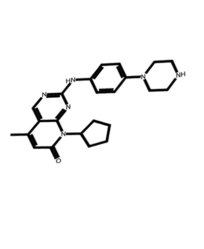 Cc1cc(=O)n(C2CCCC2)c2nc(Nc3ccc(N4CCNCC4)cc3)ncc12